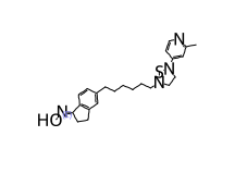 Cc1cc(N2CCN(CCCCCCc3ccc4c(c3)CC/C4=N\O)S2)ccn1